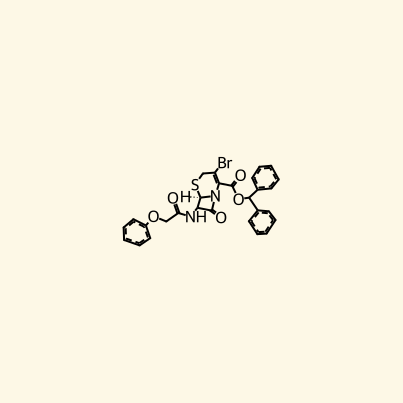 O=C(COc1ccccc1)NC1C(=O)N2C(C(=O)OC(c3ccccc3)c3ccccc3)=C(Br)CS[C@H]12